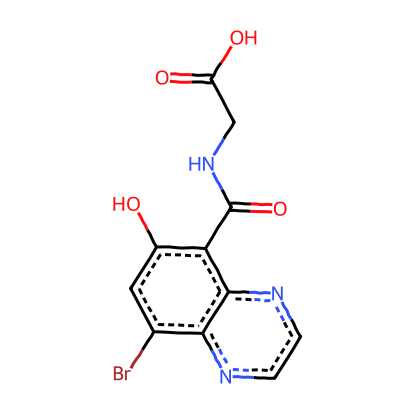 O=C(O)CNC(=O)c1c(O)cc(Br)c2nccnc12